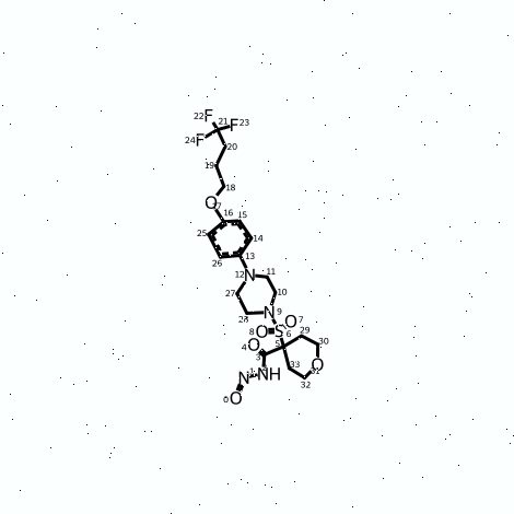 O=NNC(=O)C1(S(=O)(=O)N2CCN(c3ccc(OCCCC(F)(F)F)cc3)CC2)CCOCC1